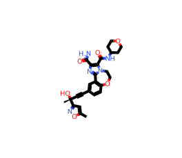 Cc1cc([C@](C)(O)C#Cc2ccc3c(c2)-c2nc(C(N)=O)c(C(=O)NC4CCOCC4)n2CCO3)no1